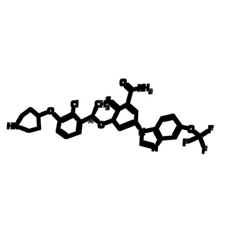 C[C@@H](OC1C=C(n2cnc3cc(OC(F)(F)F)ccc32)C=C(C(N)=O)C1=S)c1cccc(OC2CCNCC2)c1Cl